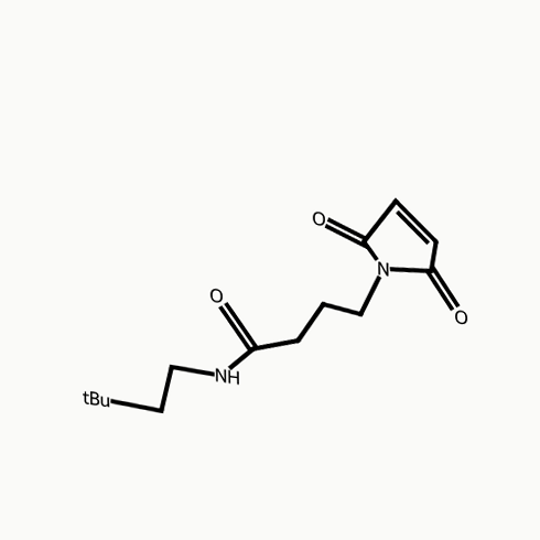 CC(C)(C)CCNC(=O)CCCN1C(=O)C=CC1=O